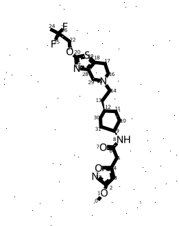 COc1cc(CC(=O)N[C@H]2CC[C@H](CCN3CCc4sc(OCC(C)(F)F)nc4C3)CC2)on1